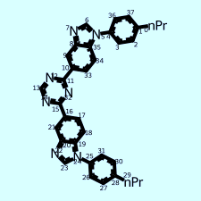 CCCc1ccc(-n2cnc3cc(-c4ncnc(-c5ccc6c(c5)ncn6-c5ccc(CCC)cc5)n4)ccc32)cc1